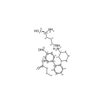 CCCC(=O)O.NC1CCCCC1.NCCC[C@H](N)C(=O)O.O=Cc1ccc(-c2ccccc2)cc1